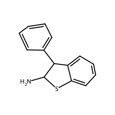 NC1Sc2ccccc2C1c1ccccc1